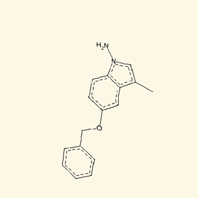 Cc1cn(N)c2ccc(OCc3ccccc3)cc12